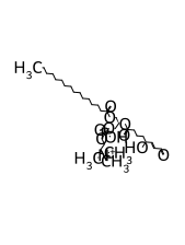 CCCCCCCCCCCCCCCC(=O)OC[C@H](COP(=O)(O)OCC[N+](C)(C)C)OC(=O)CCCC(O)/C=C/C=O